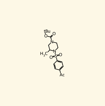 CC(=O)c1ccc(S(=O)(=O)N2CCN(C(=O)OC(C)(C)C)CC2C)cc1